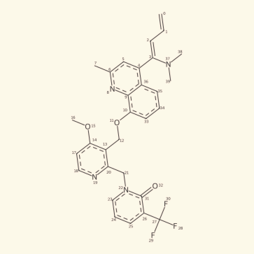 C=C/C=C(/c1cc(C)nc2c(OCc3c(OC)ccnc3Cn3cccc(C(F)(F)F)c3=O)cccc12)N(C)C